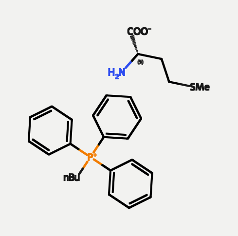 CCCC[P+](c1ccccc1)(c1ccccc1)c1ccccc1.CSCC[C@H](N)C(=O)[O-]